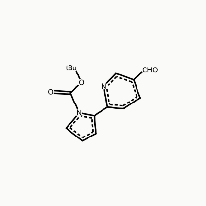 CC(C)(C)OC(=O)n1cccc1-c1ccc(C=O)cn1